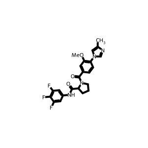 COc1cc(C(=O)N2CCCC2C(=O)Nc2cc(F)c(F)c(F)c2)ccc1-n1cnc(C)c1